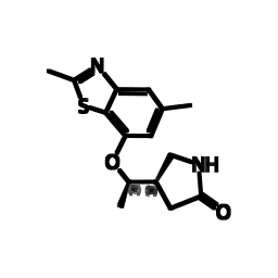 Cc1cc(O[C@H](C)[C@H]2CNC(=O)C2)c2sc(C)nc2c1